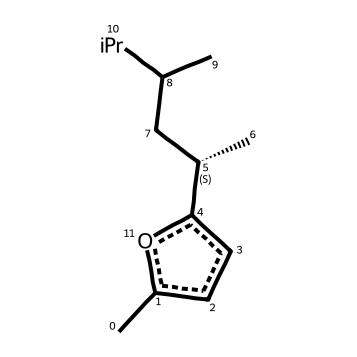 Cc1ccc([C@@H](C)CC(C)C(C)C)o1